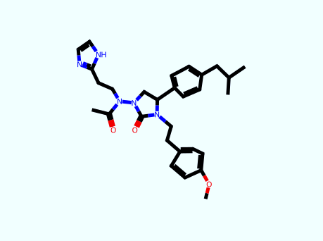 COc1ccc(CCN2C(=O)N(N(CCc3ncc[nH]3)C(C)=O)CC2c2ccc(CC(C)C)cc2)cc1